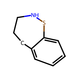 c1ccc2c(c1)CCCNS2